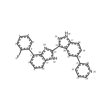 Fc1ccccc1-c1cccc2[nH]c(-c3n[nH]c4ccc(-c5cccnc5)cc34)nc12